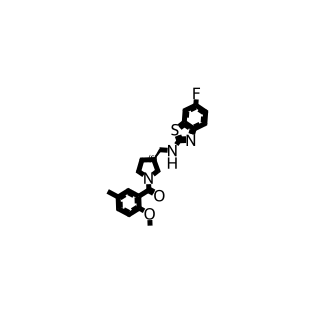 COc1ccc(C)cc1C(=O)N1CC[C@@H](CNc2nc3ccc(F)cc3s2)C1